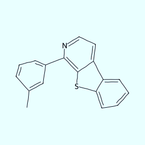 Cc1cccc(-c2nccc3c2sc2ccccc23)c1